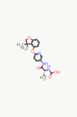 CC[C@@H](NC(=O)O)C(=O)Nc1ccc(Oc2cccc3c2C(C)(C)CO3)nc1